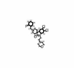 O=C1N(CCN2CCOCC2)c2cc(Cl)c(Cl)cc2C12CCN(Cc1ccccc1F)CC2